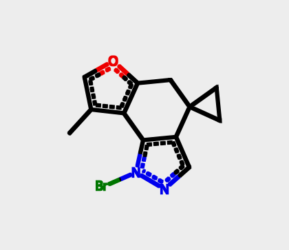 Cc1coc2c1-c1c(cnn1Br)C1(CC1)C2